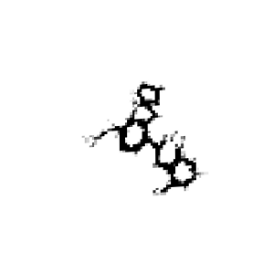 COc1ccc(C(O)Cc2c(Cl)cncc2Cl)c2c1OC1(CCCC1)C2